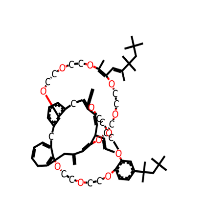 C=C1/C=C2/OCCOCCOC(/C=C(\C)C(C)(C)CC(C)(C)C)=C(/C)OCCOCCOc3c4cccc3C/C(=C/C=C\C2/C=C/C)C(=C)OCCOCCOc2cc(C(C)(C)CC(C)(C)C)ccc2OCCOCCOC2=C(CC=CC=C2C4)C1